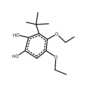 CCOc1cc(O)c(O)c(C(C)(C)C)c1OCC